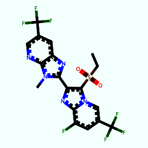 CCS(=O)(=O)c1c(-c2nc3cc(C(F)(F)F)cnc3n2C)nc2c(F)cc(C(F)(F)F)cn12